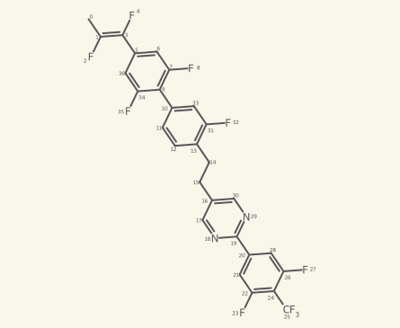 C/C(F)=C(\F)c1cc(F)c(-c2ccc(CCc3cnc(-c4cc(F)c(C(F)(F)F)c(F)c4)nc3)c(F)c2)c(F)c1